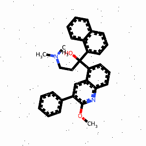 COc1nc2cccc(C(O)(CCN(C)C)c3cccc4ccccc34)c2cc1-c1ccccc1